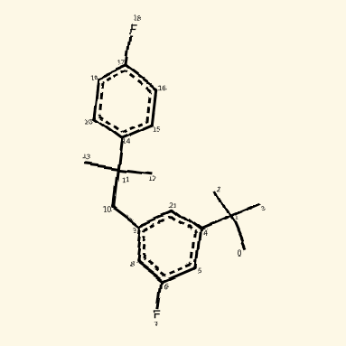 CC(C)(C)c1cc(F)cc(CC(C)(C)c2ccc(F)cc2)c1